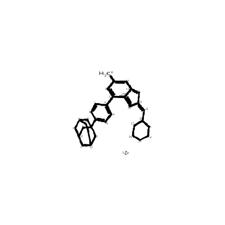 Cc1cc(-c2ccc(C34CC5CC(CC(C5)C3)C4)cc2)c2c(c1)=[C]C(=CC1CCCCC1)C=2.[Zr]